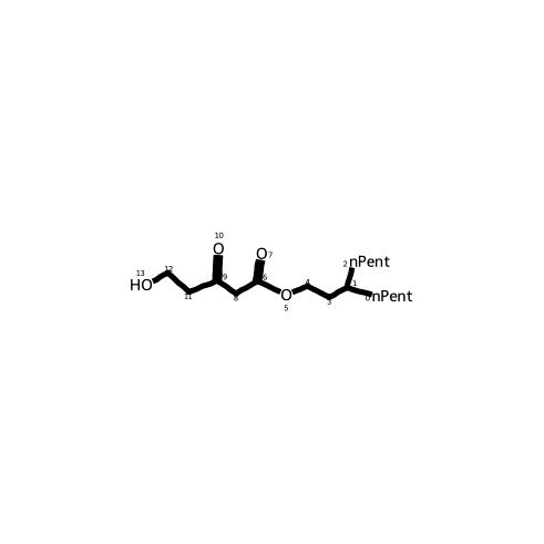 CCCCCC(CCCCC)CCOC(=O)CC(=O)CCO